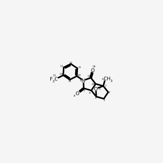 CC12CCC(O1)C1C(=O)N(c3cccc(C(F)(F)F)c3)C(=O)C12